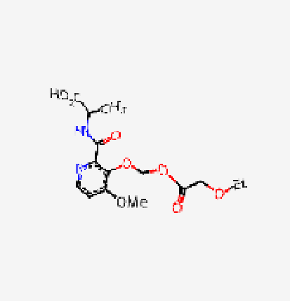 CCOCC(=O)OCOc1c(OC)ccnc1C(=O)NC(C)C(=O)O